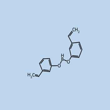 C=Cc1cccc(OBOc2cccc(C=C)c2)c1